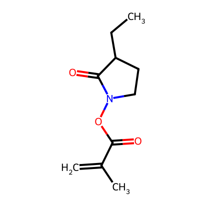 C=C(C)C(=O)ON1CCC(CC)C1=O